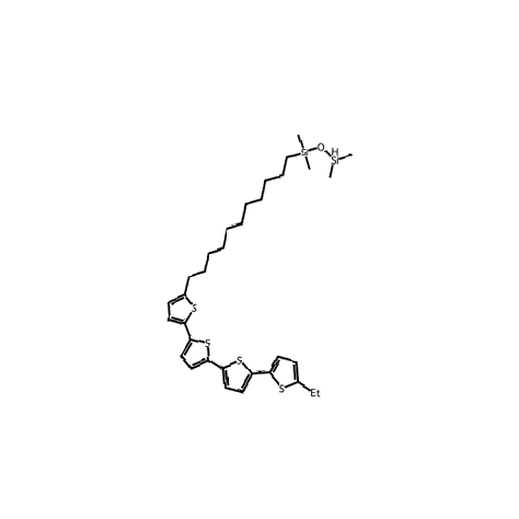 CCc1ccc(-c2ccc(-c3ccc(-c4ccc(CCCCCCCCCCC[Si](C)(C)O[SiH](C)C)s4)s3)s2)s1